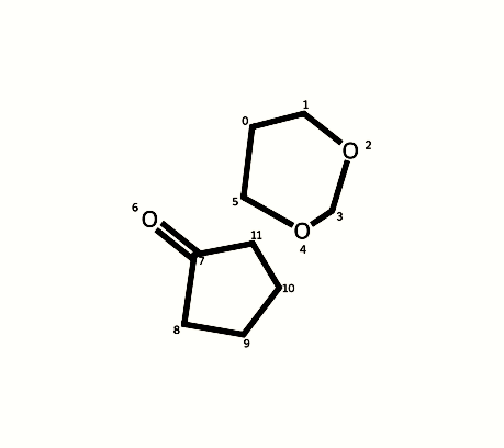 C1COCOC1.O=C1CCCC1